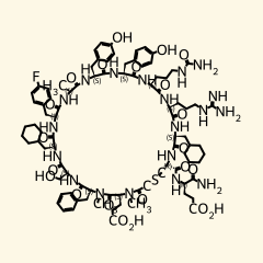 C[C@@H]1NC(=O)[C@H](Cc2ccc(F)cc2)NC(=O)[C@H](CC2CCCCC2)NC(=O)[C@H](CO)NC(=O)[C@H](Cc2ccccc2)N(C)C(=O)[C@H](CCC(=O)O)N(C)C(=O)CSC[C@@H](C(=O)N[C@H](CCC(=O)O)C(N)=O)NC(=O)[C@H](CC2CCCCC2)NC(=O)[C@H](CCCNC(=N)N)NC(=O)[C@H](CCCNC(N)=O)NC(=O)[C@H](Cc2ccc(O)cc2)NC(=O)[C@H](Cc2ccc(O)cc2)NC1=O